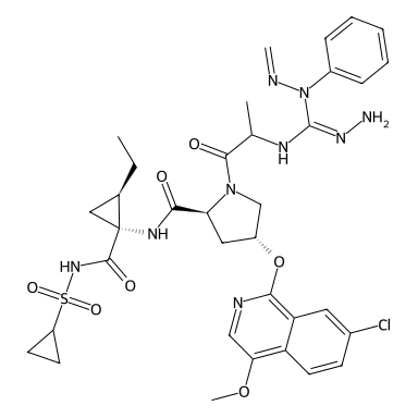 C=NN(/C(=N\N)NC(C)C(=O)N1C[C@H](Oc2ncc(OC)c3ccc(Cl)cc23)C[C@H]1C(=O)N[C@]1(C(=O)NS(=O)(=O)C2CC2)C[C@H]1CC)c1ccccc1